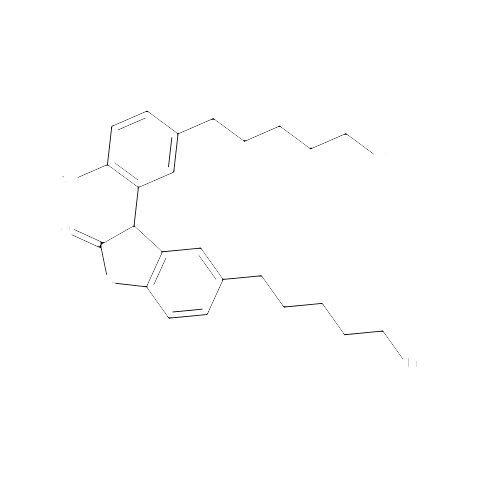 CC(=O)c1ccc(CCCCCC(C)C)cc1C1C(=O)Oc2ccc(CCCCCC(C)C)cc21